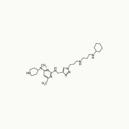 Cc1cc(N(C)C2CCNCC2)nc(NCc2cn(CCCNCCCNC3CCCCC3)nn2)n1